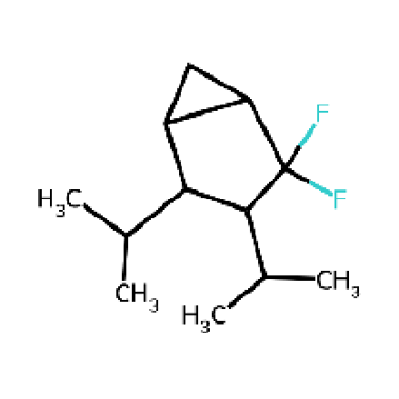 CC(C)C1C2CC2C(F)(F)C1C(C)C